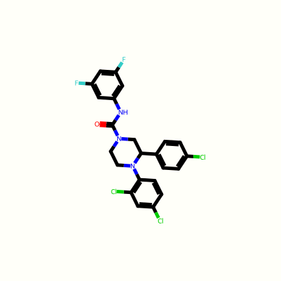 O=C(Nc1cc(F)cc(F)c1)N1CCN(c2ccc(Cl)cc2Cl)C(c2ccc(Cl)cc2)C1